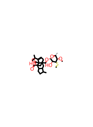 CO[C@H]1[C@H](SC)[C@@H](O)[C@H](OCC23CC4C(C)CCC4C4(C=O)CC2C=C(C(C)C)C43C(=O)O)O[C@@H]1C